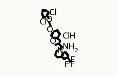 Cl.NC(C(C=O)Cc1ccc(OCCOc2c(Cl)cccc2Cl)cc1)N1CCCc2cc(C(F)(F)F)ccc21